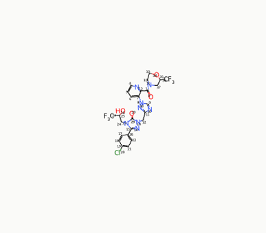 O=C(c1ncccc1-n1cnc(Cn2nc(-c3ccc(Cl)cc3)n(CC(O)C(F)(F)F)c2=O)n1)N1CCOC(C(F)(F)F)C1